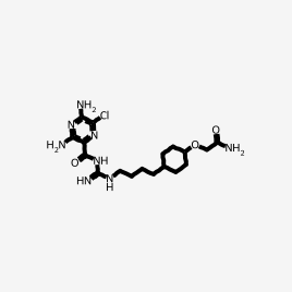 N=C(NCCCCC1CCC(OCC(N)=O)CC1)NC(=O)c1nc(Cl)c(N)nc1N